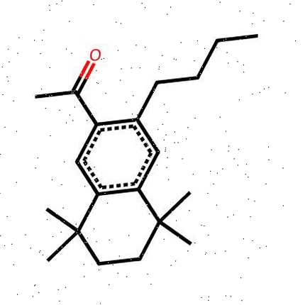 CCCCc1cc2c(cc1C(C)=O)C(C)(C)CCC2(C)C